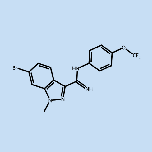 Cn1nc(C(=N)Nc2ccc(OC(F)(F)F)cc2)c2ccc(Br)cc21